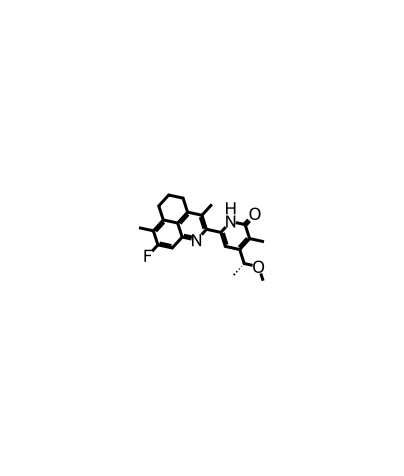 CO[C@H](C)c1cc(-c2nc3cc(F)c(C)c4c3c(c2C)CCC4)[nH]c(=O)c1C